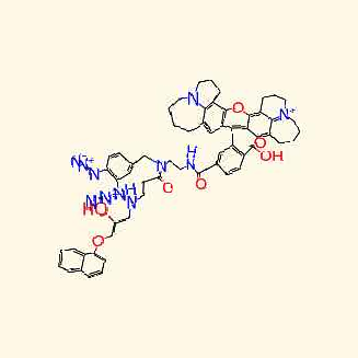 [N-]=[N+]=Nc1ccc(CN(CCNC(=O)c2ccc(C(=O)O)c(C3=c4cc5c6c(c4Oc4c3cc3c7c4CCCN7CCCC3)CCC[N+]=6CCCC5)c2)C(=O)CCNC[C@H](O)COc2cccc3ccccc23)cc1N=[N+]=[N-]